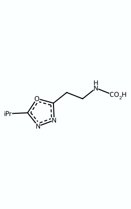 CC(C)c1nnc(CCNC(=O)O)o1